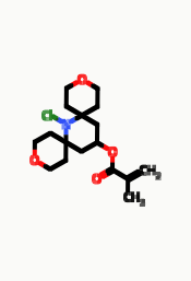 C=C(C)C(=O)OC1CC2(CCOCC2)N(Cl)C2(CCOCC2)C1